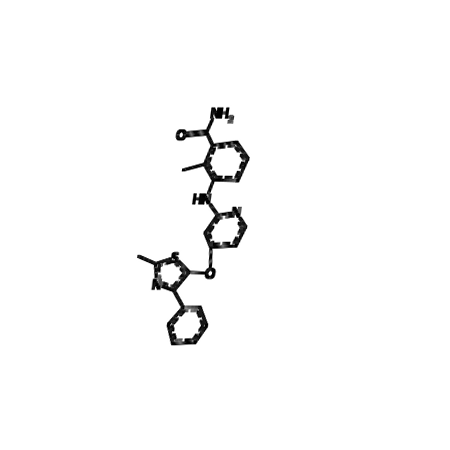 Cc1nc(-c2ccccc2)c(Oc2ccnc(Nc3cccc(C(N)=O)c3C)c2)s1